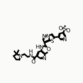 Cc1ncc(C(=O)NCCN2CCCC2(C)C)cc1NC(=O)c1cnn2cc(-c3cncc(S(C)(=O)=O)c3)sc12